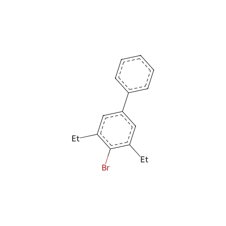 CCc1cc(-c2ccccc2)cc(CC)c1Br